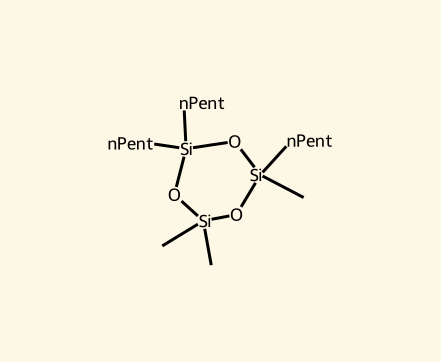 CCCCC[Si]1(C)O[Si](C)(C)O[Si](CCCCC)(CCCCC)O1